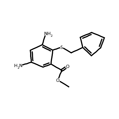 COC(=O)c1cc(N)cc(N)c1SCc1ccccc1